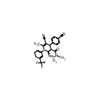 CC1=C(C#N)C(c2ccc(C#N)cc2)C(C(=O)N(C)C)C(=N)N1C1=CCCC(C(F)(F)F)=C1